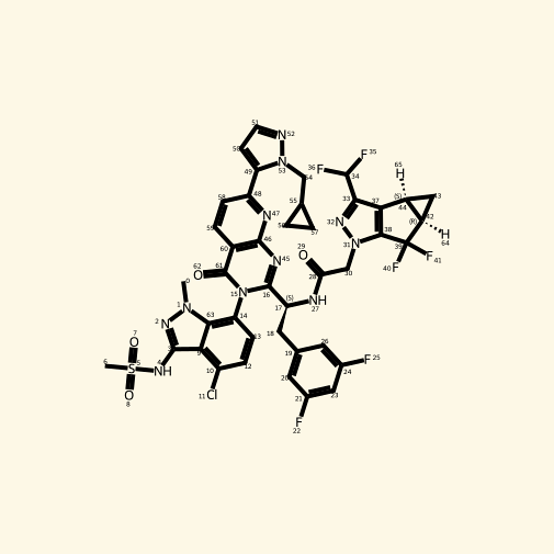 Cn1nc(NS(C)(=O)=O)c2c(Cl)ccc(-n3c([C@H](Cc4cc(F)cc(F)c4)NC(=O)Cn4nc(C(F)F)c5c4C(F)(F)[C@@H]4C[C@H]54)nc4nc(-c5ccnn5CC5CC5)ccc4c3=O)c21